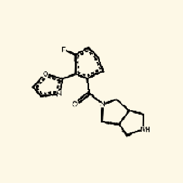 O=C(c1cccc(F)c1-c1ncco1)N1CC2CNCC2C1